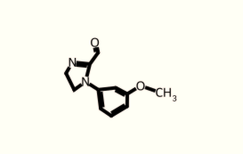 COc1cccc(N2CCN=C2C=O)c1